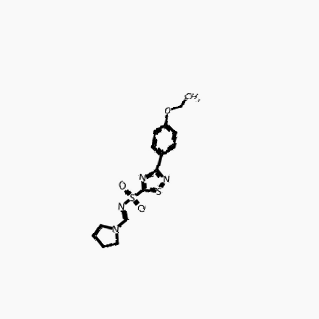 CCOc1ccc(-c2nsc(S(=O)(=O)N=CN3CCCC3)n2)cc1